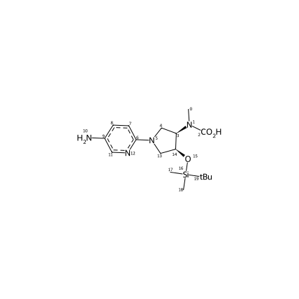 CN(C(=O)O)[C@@H]1CN(c2ccc(N)cn2)C[C@@H]1O[Si](C)(C)C(C)(C)C